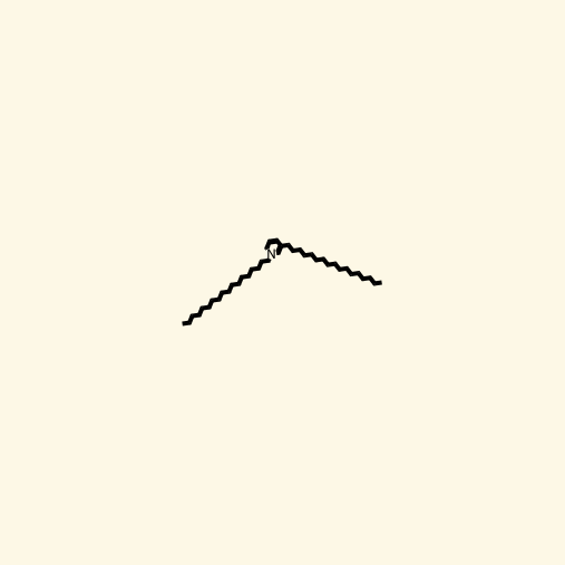 CCCCCCCCCCCCCCCCCC[n+]1cccc(CCCCCCCCCCCCCCCCC)c1